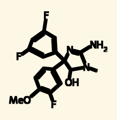 COc1ccc(C2(c3cc(F)cc(F)c3)N=C(N)N(C)C2O)cc1F